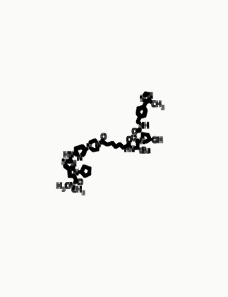 Cc1ncsc1-c1ccc(CNC(=O)[C@@H]2C[C@@H](O)CN2C(=O)[C@@H](NC(=O)CCCCCC(=O)N2CCN(c3ccc(Nc4ncc5cc(C(=O)N(C)C)n(C6CCCC6)c5n4)nc3)CC2)C(C)(C)C)cc1